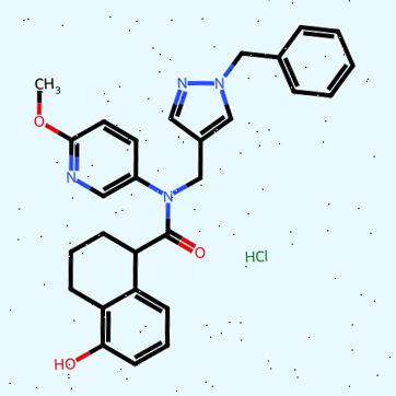 COc1ccc(N(Cc2cnn(Cc3ccccc3)c2)C(=O)C2CCCc3c(O)cccc32)cn1.Cl